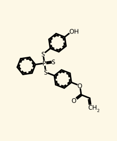 C=CC(=O)Oc1ccc(SP(=S)(Sc2ccc(O)cc2)c2ccccc2)cc1